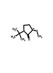 CO[C@@H]1CCN(C(C)(C)C)C1=O